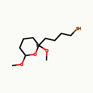 COC1CCC[Si](CCCCS)(OC)O1